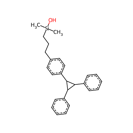 C[Si](C)(O)CCCc1ccc(C2C(c3ccccc3)C2c2ccccc2)cc1